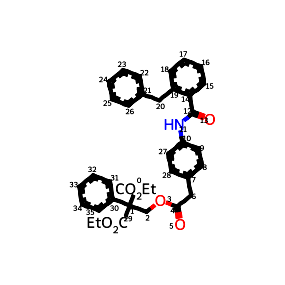 CCOC(=O)C(COC(=O)Cc1ccc(NC(=O)c2ccccc2Cc2ccccc2)cc1)(C(=O)OCC)c1ccccc1